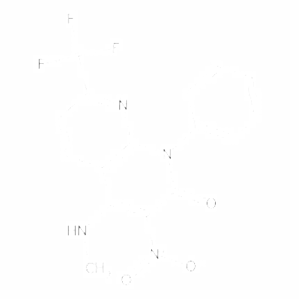 CNc1c([N+](=O)[O-])c(=O)n(-c2ccccc2)c2nc(C(F)(F)F)ccc12